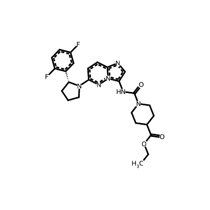 CCOC(=O)C1CCN(C(=O)Nc2cnc3ccc(N4CCC[C@@H]4c4cc(F)ccc4F)nn23)CC1